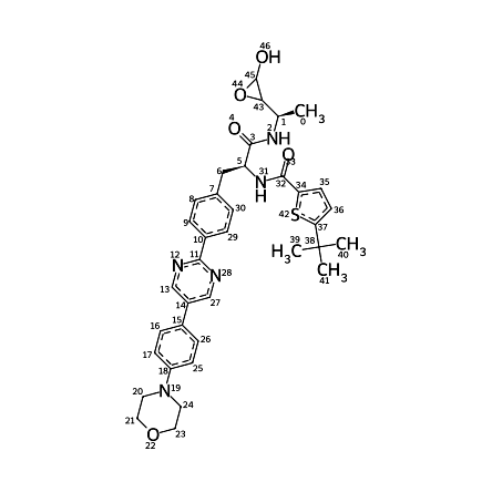 C[C@@H](NC(=O)[C@H](Cc1ccc(-c2ncc(-c3ccc(N4CCOCC4)cc3)cn2)cc1)NC(=O)c1ccc(C(C)(C)C)s1)C1OC1O